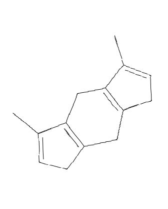 CC1=CCC2=C1CC1=C(CC=C1C)C2